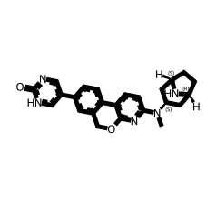 CN(c1ccc2c(n1)OCc1cc(-c3cnc(=O)[nH]c3)ccc1-2)[C@@H]1C[C@H]2CC[C@@H](C1)N2